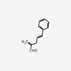 C=C(C=O)C/C=C/c1ccccc1